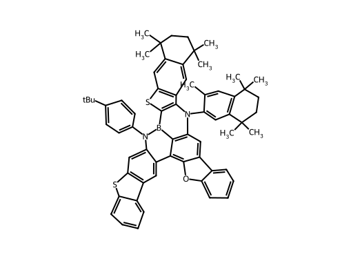 Cc1cc2c(cc1N1c3cc4c(oc5ccccc54)c4c3B(c3sc5cc6c(cc5c31)C(C)(C)CCC6(C)C)N(c1ccc(C(C)(C)C)cc1)c1cc3sc5ccccc5c3cc1-4)C(C)(C)CCC2(C)C